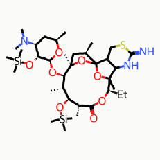 CC[C@H]1OC(=O)[C@H](C)[C@@H](O[Si](C)(C)C)[C@H](C)[C@@H](O[C@@H]2O[C@H](C)C[C@H](N(C)C)[C@H]2O[Si](C)(C)C)[C@@]2(C)C[C@@H](C)C3(OC1(C)C1NC(=N)SCC13)O2